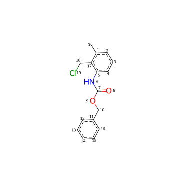 Cc1cccc(NC(=O)OCc2ccccc2)c1CCl